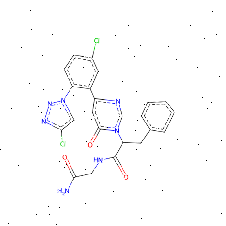 NC(=O)CNC(=O)C(Cc1ccccc1)n1cnc(-c2cc(Cl)ccc2-n2cc(Cl)nn2)cc1=O